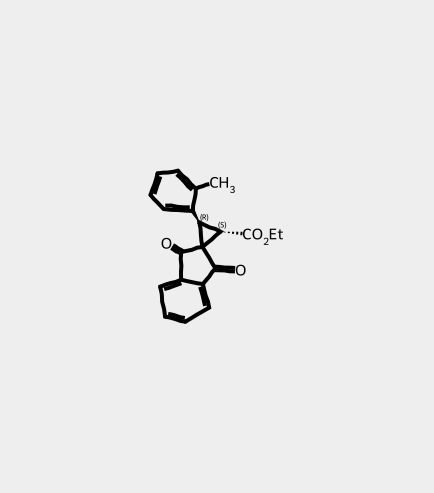 CCOC(=O)[C@H]1[C@H](c2ccccc2C)C12C(=O)c1ccccc1C2=O